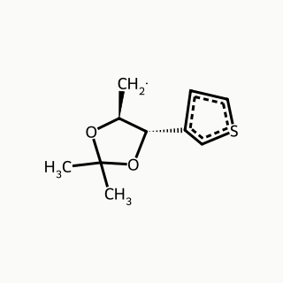 [CH2][C@@H]1OC(C)(C)O[C@H]1c1ccsc1